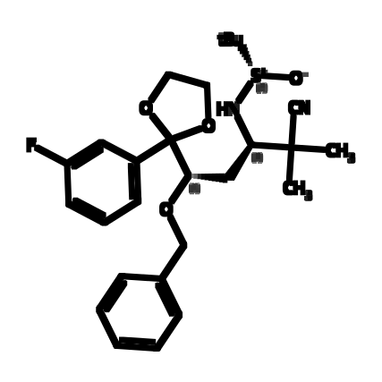 CC(C)(C#N)[C@@H](C[C@H](OCc1ccccc1)C1(c2cccc(F)c2)OCCO1)N[S@@+]([O-])C(C)(C)C